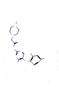 COc1ccc(Oc2cnc(NC(=O)CN3CCN(C)CC3)nc2N)c(C(C)C)c1